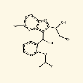 OCC(O)c1nc2ccc(Cl)nn2c1C(O)c1ccccc1OC(F)F